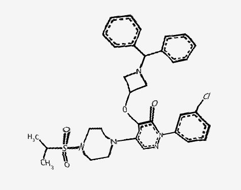 CC(C)S(=O)(=O)N1CCN(c2cnn(-c3cccc(Cl)c3)c(=O)c2OC2CN(C(c3ccccc3)c3ccccc3)C2)CC1